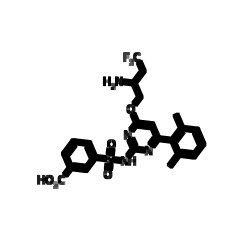 Cc1cccc(C)c1-c1cc(OCC(N)CC(F)(F)F)nc(NS(=O)(=O)c2cccc(C(=O)O)c2)n1